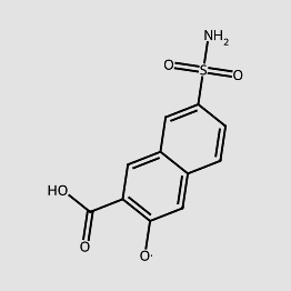 NS(=O)(=O)c1ccc2cc([O])c(C(=O)O)cc2c1